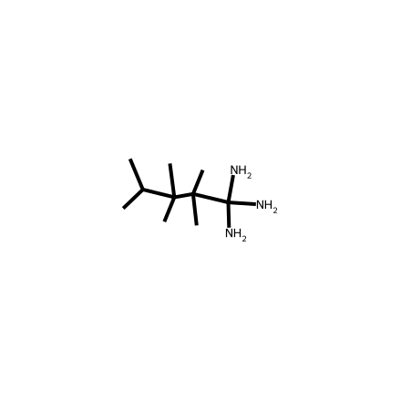 CC(C)C(C)(C)C(C)(C)C(N)(N)N